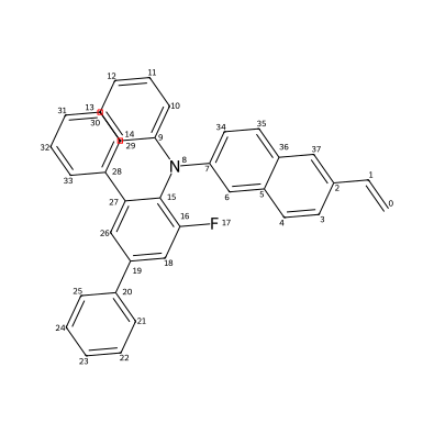 C=Cc1ccc2cc(N(c3ccccc3)c3c(F)cc(-c4ccccc4)cc3-c3ccccc3)ccc2c1